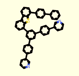 c1ccc(-c2ccc(-c3cccc4c3sc3c(-c5cc(-c6ccc(-c7cccnc7)cc6)cc(-c6ccc(-c7cccnc7)cc6)c5)cccc34)cc2)cc1